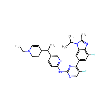 CCN1C=CC([C@@H](C)c2ccc(Nc3ncc(F)c(-c4cc(F)c5nc(C)n(C(C)C)c5c4)n3)nc2)CC1